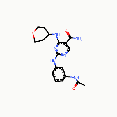 CC(=O)Nc1cccc(Nc2ncc(C(N)=O)c(NC3CCOCC3)n2)c1